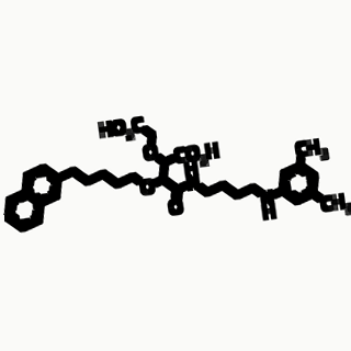 Cc1cc(C)cc(NCCCCNC(=O)C(OCCCCCc2ccc3ccccc3c2)C(OCC(=O)O)C(=O)O)c1